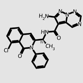 C[C@H](NC(=O)c1c(N)nn2ncncc12)c1cc2cccc(Cl)c2c(=O)n1-c1ccccc1